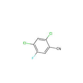 N#Cc1cc(F)c(Cl)cc1Cl